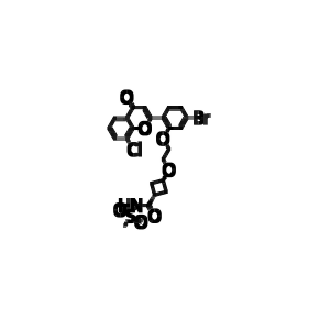 CS(=O)(=O)NC(=O)[C@H]1C[C@@H](OCCOc2cc(Br)ccc2-c2cc(=O)c3cccc(Cl)c3o2)C1